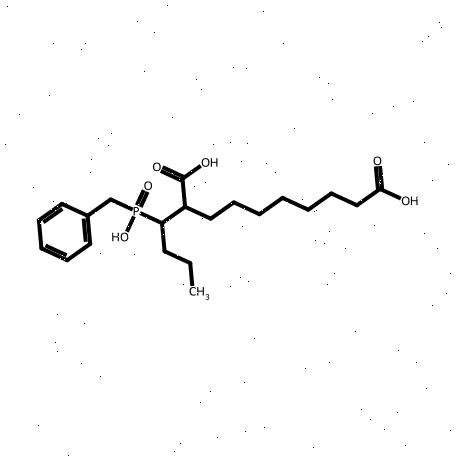 CCCC(C(CCCCCCCC(=O)O)C(=O)O)P(=O)(O)Cc1ccccc1